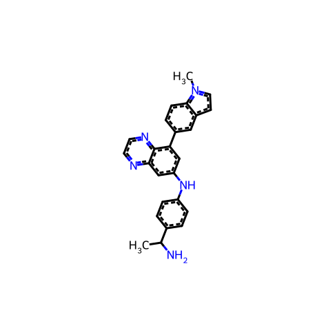 CC(N)c1ccc(Nc2cc(-c3ccc4c(ccn4C)c3)c3nccnc3c2)cc1